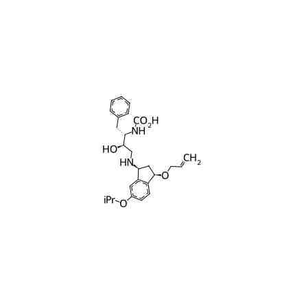 C=CCO[C@@H]1C[C@H](NC[C@@H](O)[C@H](Cc2ccccc2)NC(=O)O)c2cc(OC(C)C)ccc21